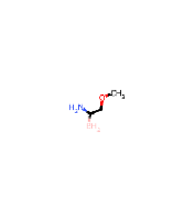 BC(N)COC